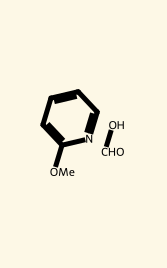 COc1ccccn1.O=CO